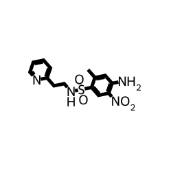 Cc1cc(N)c([N+](=O)[O-])cc1S(=O)(=O)NCCc1ccccn1